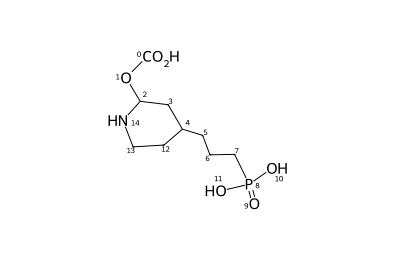 O=C(O)OC1CC(CCCP(=O)(O)O)CCN1